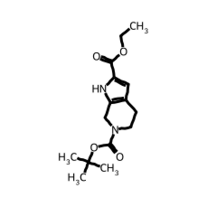 CCOC(=O)c1cc2c([nH]1)CN(C(=O)OC(C)(C)C)CC2